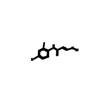 CCO/C=C/C(=O)Nc1ccc(Br)cc1C